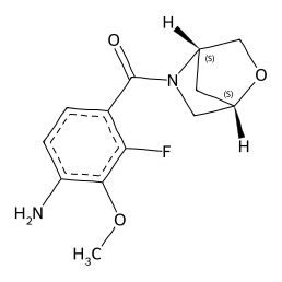 COc1c(N)ccc(C(=O)N2C[C@@H]3C[C@H]2CO3)c1F